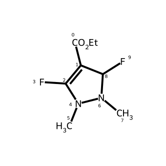 CCOC(=O)C1=C(F)N(C)N(C)C1F